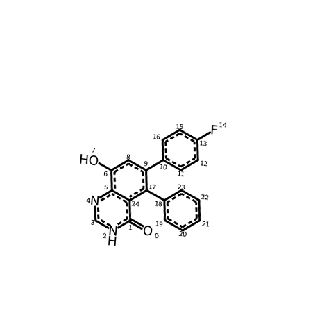 O=c1[nH]cnc2c(O)cc(-c3ccc(F)cc3)c(-c3ccccc3)c12